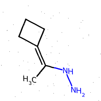 CC(NN)=C1CCC1